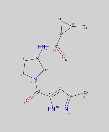 CC(C)c1cc(C(=O)N2CCC(NC(=O)C3CC3C)C2)[nH]n1